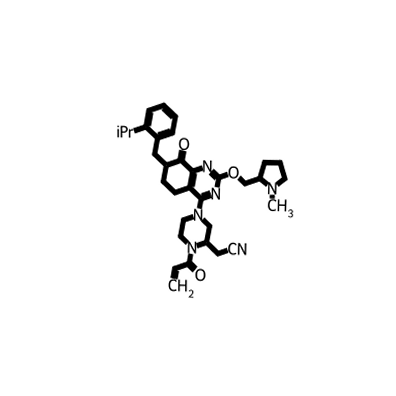 C=CC(=O)N1CCN(c2nc(OCC3CCCN3C)nc3c2CCC(Cc2ccccc2C(C)C)C3=O)CC1CC#N